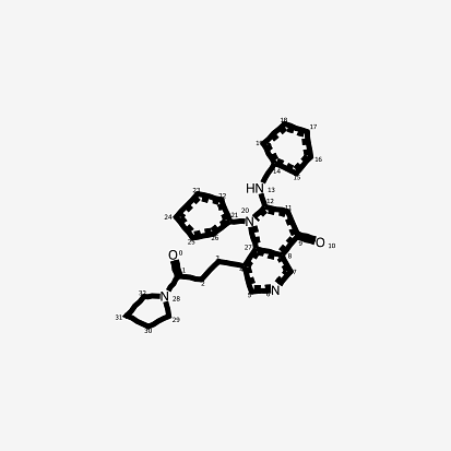 O=C(CCc1cncc2c(=O)cc(Nc3ccccc3)n(-c3ccccc3)c12)N1CCCC1